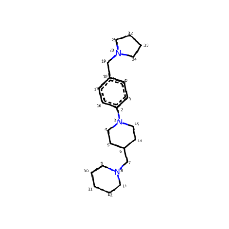 c1cc(N2CCC(CN3CCCCC3)CC2)ccc1CN1CCCC1